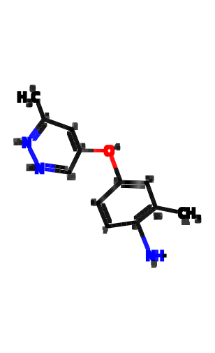 Cc1cc(Oc2ccc([NH])c(C)c2)cnn1